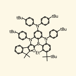 CCc1c(C(C)(C)C(C)(C)C)ccc2c1B1c3oc4c(c3N(c3ccc(C(C)(C)C)cc3)c3cc(N(c5ccc(C(C)(C)C)cc5)c5ccc(C(C)(C)C)cc5)cc(c31)N2c1ccc(C(C)(C)C)cc1)-c1ccccc1C4(C)C